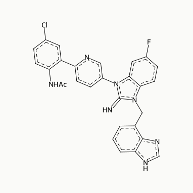 CC(=O)Nc1ccc(Cl)cc1-c1ccc(-n2c(=N)n(Cc3cccc4[nH]cnc34)c3ccc(F)cc32)cn1